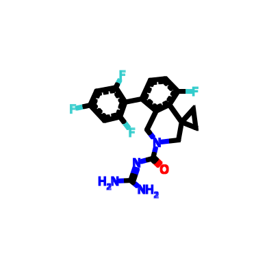 NC(N)=NC(=O)N1Cc2c(-c3c(F)cc(F)cc3F)ccc(F)c2C2(CC2)C1